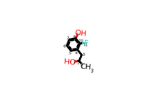 CC(O)Cc1cccc(O)c1F